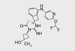 C[C@]1(O)C[C@@H](N2C(=N)N[C@]3(CC2=O)Cc2c(Nc4ccc(OC(F)F)nc4)cccc23)C1